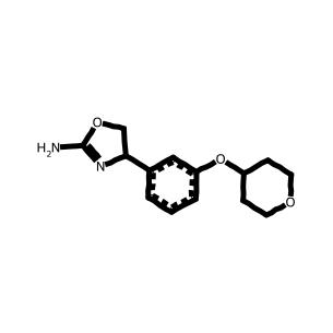 NC1=NC(c2cccc(OC3CCOCC3)c2)CO1